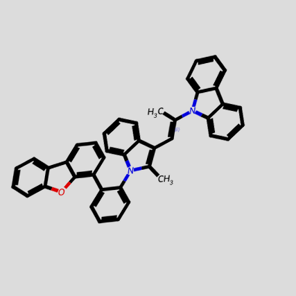 C/C(=C\c1c(C)n(-c2ccccc2-c2cccc3c2oc2ccccc23)c2ccccc12)n1c2ccccc2c2ccccc21